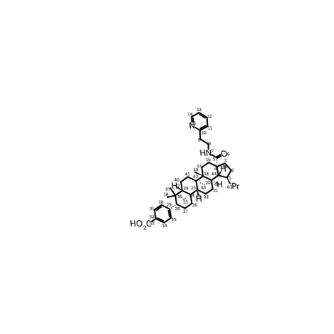 CC(C)[C@@H]1CC[C@]2(C(=O)NCCc3ccccn3)CC[C@]3(C)[C@H](CC[C@@H]4[C@@]5(C)CC[C@H](c6ccc(C(=O)O)cc6)C(C)(C)[C@@H]5CC[C@]43C)[C@@H]12